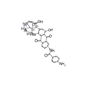 CC(C)[C@@]12O[C@]13c1cc(O)c4c(c1N[C@H]2C#C/C=C\C#C[C@H]3O)C(=O)c1ccc(NC(=O)c2ccc(N)cc2)cc1C4=O